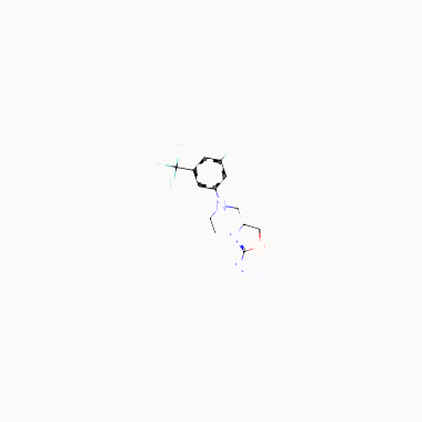 CCN(C[C@H]1COC(N)=N1)c1cc(F)cc(C(F)(F)F)c1